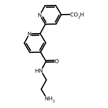 NCCNC(=O)c1ccnc(-c2cc(C(=O)O)ccn2)c1